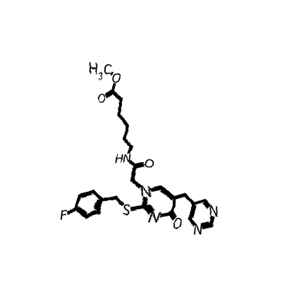 COC(=O)CCCCCNC(=O)Cn1cc(Cc2cncnc2)c(=O)nc1SCc1ccc(F)cc1